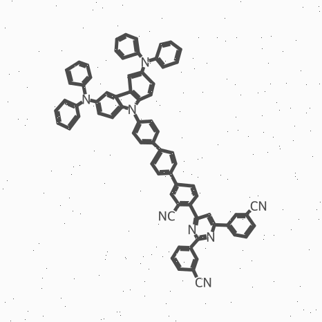 N#Cc1cccc(-c2cc(-c3ccc(-c4ccc(-c5ccc(-n6c7ccc(N(c8ccccc8)c8ccccc8)cc7c7cc(N(c8ccccc8)c8ccccc8)ccc76)cc5)cc4)cc3C#N)nc(-c3cccc(C#N)c3)n2)c1